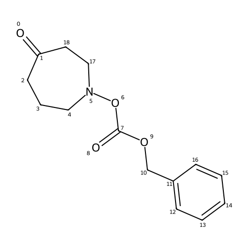 O=C1CCCN(OC(=O)OCc2ccccc2)CC1